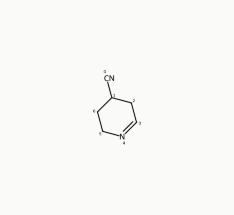 N#CC1CC=NCC1